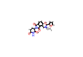 CN(Cc1cccc2c1C(=O)N(C1CCC(=O)NC1=O)C2=O)C(=O)c1ccco1